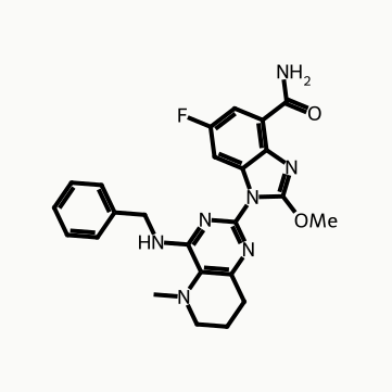 COc1nc2c(C(N)=O)cc(F)cc2n1-c1nc2c(c(NCc3ccccc3)n1)N(C)CCC2